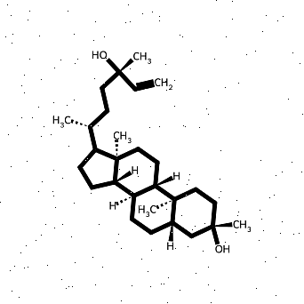 C=C[C@@](C)(O)CC[C@@H](C)C1CC[C@H]2[C@@H]3CC[C@H]4C[C@@](C)(O)CC[C@]4(C)[C@H]3CC[C@]12C